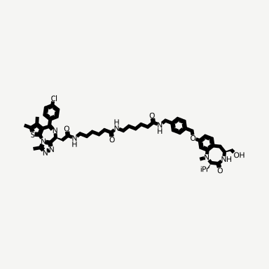 Cc1sc2c(c1C)C(c1ccc(Cl)cc1)=N[C@@H](CC(=O)NCCCCCC(=O)NCCCCCC(=O)NCc1ccc(COc3ccc4c(c3)N(C)[C@@H](C(C)C)C(=O)N[C@H](CO)C4)cc1)c1nnc(C)n1-2